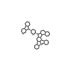 c1ccc2c(c1)ccc1c2c2c3c4ccccc4n4c5ccccc5c(cc2n1-c1ccc(-n2c5ccccc5c5ccncc52)cn1)c34